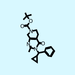 Cc1nc2c(c(=O)n1C(c1ccccc1)C1CC1)CCN(C(=O)OC(C)(C)C)C2